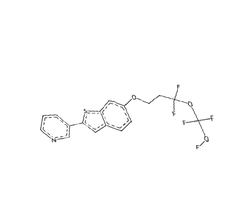 FOC(F)(F)OC(F)(F)CCOc1ccc2cc(-c3cccnc3)sc2c1